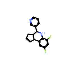 Fc1cc(F)c2c(c1)C1C=CCC1C(c1cccnc1)N2